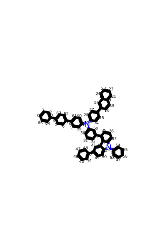 c1ccc(-c2ccc(-c3ccc(N(c4ccc(-c5ccc6ccccc6c5)cc4)c4cccc(-c5cccc6c5c5cc(-c7ccccc7)ccc5n6-c5ccccc5)c4)cc3)cc2)cc1